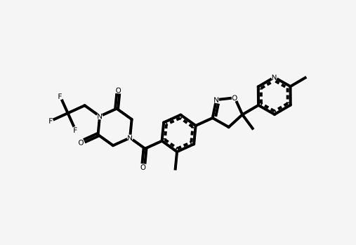 Cc1ccc(C2(C)CC(c3ccc(C(=O)N4CC(=O)N(CC(F)(F)F)C(=O)C4)c(C)c3)=NO2)cn1